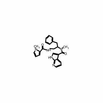 CN(C(=O)c1c[nH]c2ncccc12)C(CCNC(=O)c1cccn1C)Cc1ccccc1